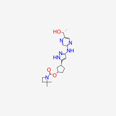 C[C@@H](O)c1cnc(Nc2cc([C@H]3CC[C@@H](OC(=O)N4CCC4(C)C)C3)[nH]n2)cn1